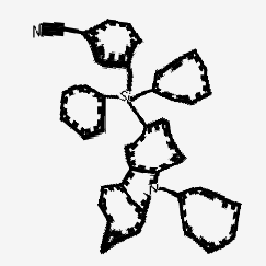 N#Cc1cccc([Si](c2ccccc2)(c2ccccc2)c2ccc3c(c2)c2ccccc2n3-c2ccccc2)c1